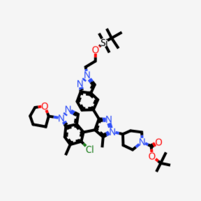 Cc1cc2c(cnn2C2CCCCO2)c(-c2c(-c3ccc4nn(CCO[Si](C)(C)C(C)(C)C)cc4c3)nn(C3CCN(C(=O)OC(C)(C)C)CC3)c2C)c1Cl